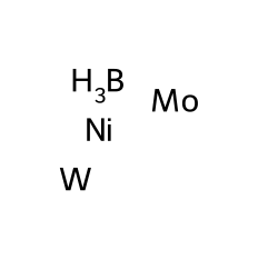 B.[Mo].[Ni].[W]